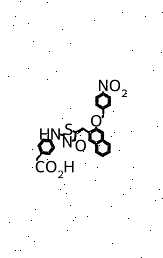 O=C(O)Cc1ccc(NC2=NC(=O)/C(=C\c3cc4ccccc4cc3OCc3ccc([N+](=O)[O-])cc3)S2)cc1